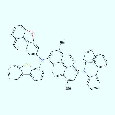 CC(C)(C)c1cc(N(c2ccccc2)c2ccccc2-c2ccccc2)c2ccc3c(C(C)(C)C)cc(N(c4cc5ccc6cccc7oc(c4)c5c67)c4cccc5c4sc4ccccc45)c4ccc1c2c43